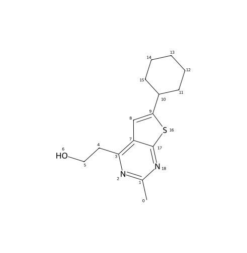 Cc1nc(CCO)c2cc(C3CCCCC3)sc2n1